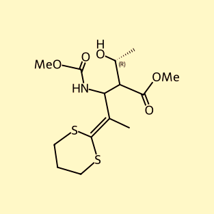 COC(=O)NC(C(C)=C1SCCCS1)C(C(=O)OC)[C@@H](C)O